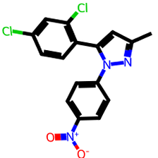 Cc1cc(-c2ccc(Cl)cc2Cl)n(-c2ccc([N+](=O)[O-])cc2)n1